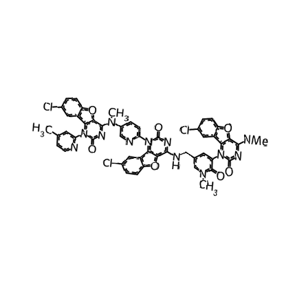 CNc1nc(=O)n(-c2cc(CNc3nc(=O)n(-c4ccc(N(C)c5nc(=O)n(-c6cc(C)ccn6)c6c5oc5ccc(Cl)cc56)cn4)c4c3oc3ccc(Cl)cc34)cn(C)c2=O)c2c1oc1ccc(Cl)cc12